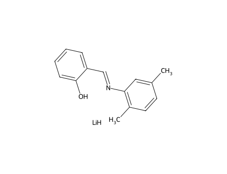 Cc1ccc(C)c(N=Cc2ccccc2O)c1.[LiH]